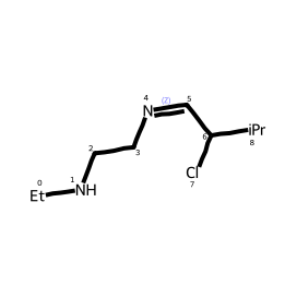 CCNCC/N=C\C(Cl)C(C)C